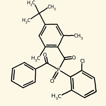 Cc1cc(C(C)(C)C)cc(C)c1C(=O)P(=O)(C(=O)c1ccccc1)c1c(C)cccc1Cl